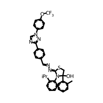 Cc1ccccc1C1(O)CS/C(=N\N=C\c2ccc(-c3ncn(-c4ccc(OC(F)(F)F)cc4)n3)cc2)N1c1ccccc1C(C)C